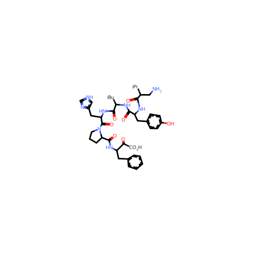 CCC(C)C(NC(=O)C(Cc1ccc(O)cc1)NC(=O)C(CN)C(C)C)C(=O)NC(Cc1c[nH]cn1)C(=O)N1CCCC1C(=O)NC(Cc1ccccc1)C(=O)C(=O)O